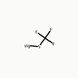 FC(F)(F)[S][Hg]